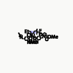 C=C/C=C\C[C@@H](Oc1cc(OC(F)F)c(CN2CCC[C@H]2C(=O)OC)cc1NC)C(C/C=C\CC)Oc1c(C#N)cc(CN2CC(=C)C2)cc1NC